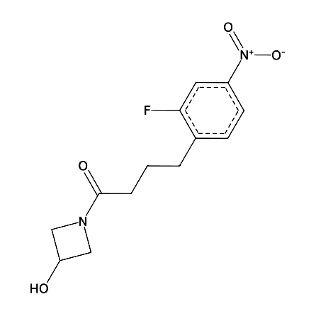 O=C(CCCc1ccc([N+](=O)[O-])cc1F)N1CC(O)C1